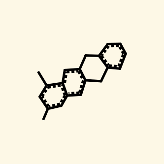 Cc1cc(C)c2cc3c(cc2c1)Cc1ccccc1C3